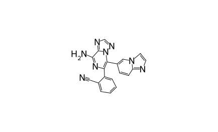 N#Cc1ccccc1-c1nc(N)c2ncnn2c1-c1ccc2nccn2c1